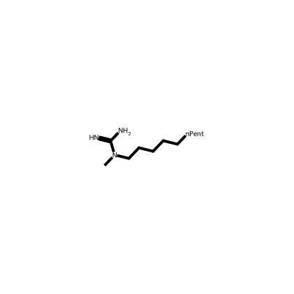 CCCCCCCCCCN(C)C(=N)N